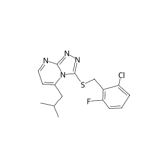 CC(C)Cc1ccnc2nnc(SCc3c(F)cccc3Cl)n12